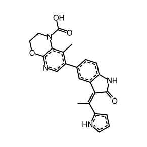 C/C(=C1/C(=O)Nc2ccc(-c3cnc4c(c3C)N(C(=O)O)CCO4)cc21)c1ccc[nH]1